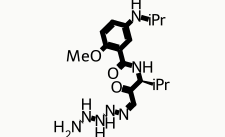 COc1ccc(NC(C)C)cc1C(=O)N[C@H](C(=O)/C=N\NNNN)C(C)C